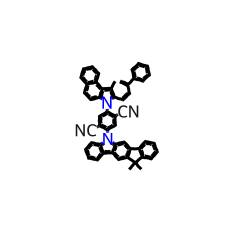 C=C(/C=C\c1c(C)c2c3ccccc3ccc2n1-c1cc(C#N)c(-n2c3ccccc3c3cc4c(cc32)-c2ccccc2C4(C)C)cc1C#N)c1ccccc1